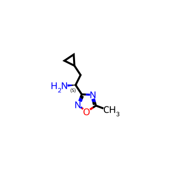 Cc1nc([C@@H](N)CC2CC2)no1